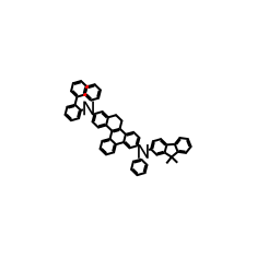 CC1(C)c2ccccc2-c2ccc(N(c3ccccc3)c3ccc4c5c(c6ccccc6c4c3)-c3ccc(N(c4ccccc4)c4ccccc4-c4ccccc4)cc3CC5)cc21